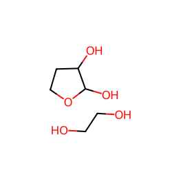 OC1CCOC1O.OCCO